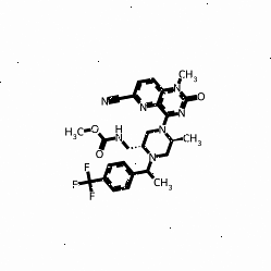 COC(=O)NC[C@@H]1CN(c2nc(=O)n(C)c3ccc(C#N)nc23)[C@@H](C)CN1C(C)c1ccc(C(F)(F)F)cc1